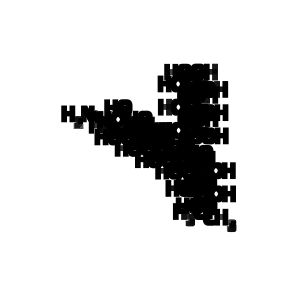 CC(C)OC1C(O)C(CO)OC(OC2C(O)C(CO)OC(OC3C(O)C(COC4OC(CO)C(O)C(OC5OC(CO)C(O)C(OC6OC(CO)C(O)C(O)C6O)C5O)C4O)OC(OC4C(O)C(CO)OC(OC5C(O)C(CO)OC(OC(C(O)CNCCCN)C(O)C(O)CO)C5O)C4O)C3O)C2O)C1O